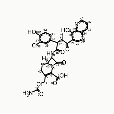 NC(=O)OCC1=C(C(=O)O)N2C(=O)C(NC(=O)C(NC(=O)c3cnc4cccnc4c3O)c3ccc(O)c(Cl)c3)[C@@H]2SC1